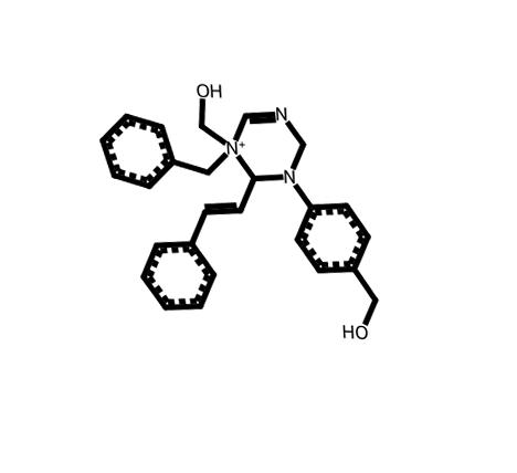 OCc1ccc(N2CN=C[N+](CO)(Cc3ccccc3)C2C=Cc2ccccc2)cc1